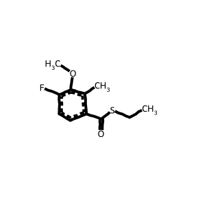 CCSC(=O)c1ccc(F)c(OC)c1C